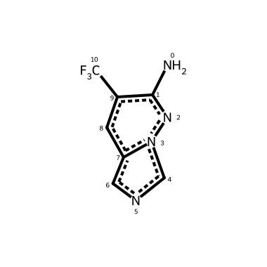 Nc1nn2cncc2cc1C(F)(F)F